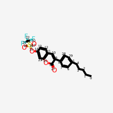 CCCCCc1ccc(-c2cc3ccc(OS(=O)(=O)C(F)(F)F)cc3oc2=O)cc1